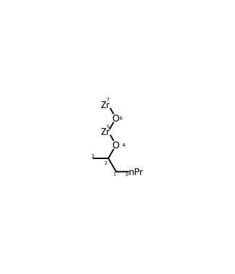 CCCCC(C)[O][Zr][O][Zr]